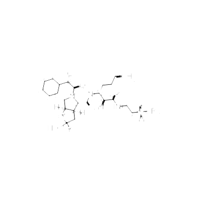 C=CCC[C@H](NC(=O)[C@@H]1[C@H]2CC(C)(C)O[C@H]2CN1C(=O)[C@@H](C)C1CCCCC1)C(=O)C(=O)NCCS(=O)(=O)C(C)(C)C